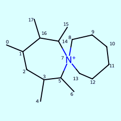 CC1CC(C)C(C)[N+]2(CCCCCC2)C(C)C1C